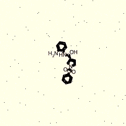 Nc1ccccc1NC(O)C1=CCN(S(=O)(=O)c2ccccc2)C1